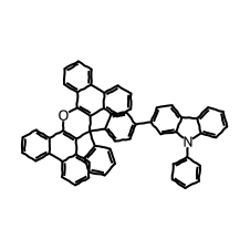 c1ccc(-n2c3ccccc3c3ccc(-c4ccc(C5(c6ccccc6)c6c(c7ccccc7c7ccccc67)Oc6c5c5ccccc5c5ccccc65)cc4)cc32)cc1